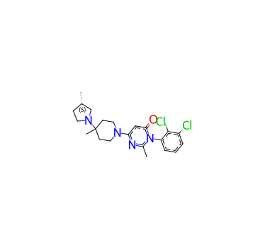 Cc1nc(N2CCC(C)(N3CC[C@H](C)C3)CC2)cc(=O)n1-c1cccc(Cl)c1Cl